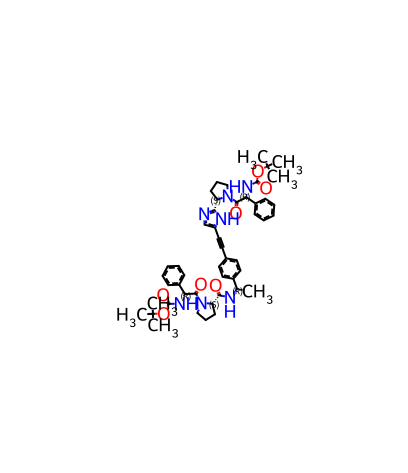 C[C@@H](NC(=O)[C@@H]1CCCN1C(=O)[C@H](NC(=O)OC(C)(C)C)c1ccccc1)c1ccc(C#Cc2cnc([C@@H]3CCCN3C(=O)[C@H](NC(=O)OC(C)(C)C)c3ccccc3)[nH]2)cc1